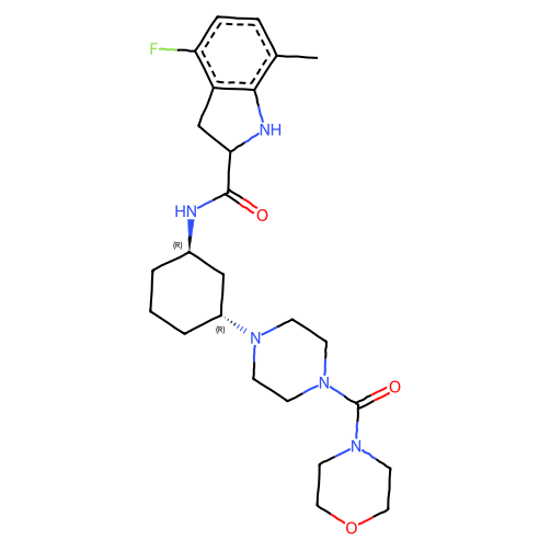 Cc1ccc(F)c2c1NC(C(=O)N[C@@H]1CCC[C@@H](N3CCN(C(=O)N4CCOCC4)CC3)C1)C2